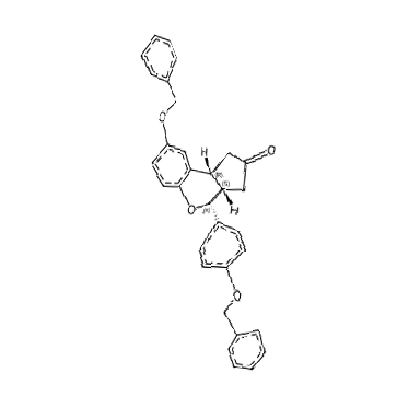 O=C1C[C@H]2[C@@H](C1)c1cc(OCc3ccccc3)ccc1O[C@H]2c1ccc(OCc2ccccc2)cc1